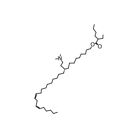 CCCCC/C=C\C/C=C\CCCCCCCCC[C@H](CCCCCCCCCOC(=O)C(CC)CCCC)CCN(C)C